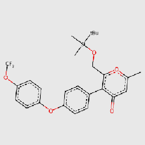 Cc1cc(=O)c(-c2ccc(Oc3ccc(OC(F)(F)F)cc3)cc2)c(CO[Si](C)(C)C(C)(C)C)o1